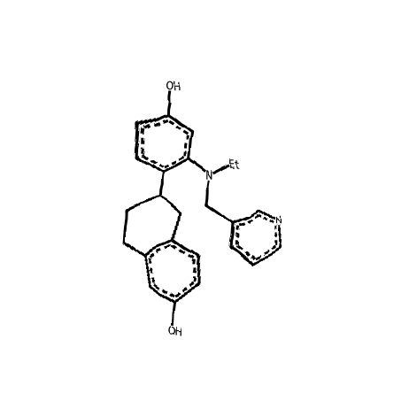 CCN(Cc1cccnc1)c1cc(O)ccc1C1CCc2cc(O)ccc2C1